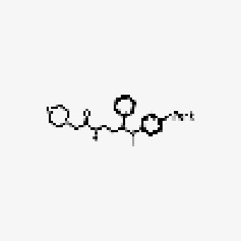 CCCCCc1ccc(NC(CCNC(=O)CN2CCOCC2)c2ccccc2)cc1